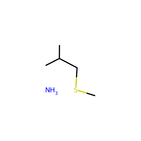 CSCC(C)C.N